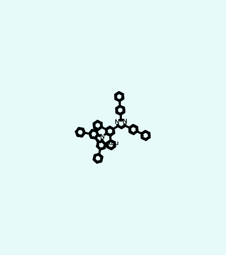 CC(C)(C)c1cc(-c2ccccc2)cc2c3cc(-c4ccccc4)ccc3n(-c3c(-c4ccccc4)cc(-c4cc(-c5ccc(-c6ccccc6)cc5)nc(-c5ccc(-c6ccccc6)cc5)n4)cc3-c3ccccc3)c12